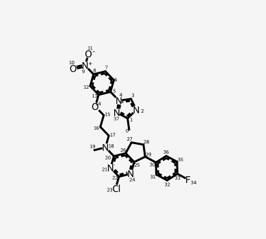 Cc1ncn(-c2ccc([N+](=O)[O-])cc2OCCCN(C)c2nc(Cl)nc3c2CCC3c2ccc(F)cc2)n1